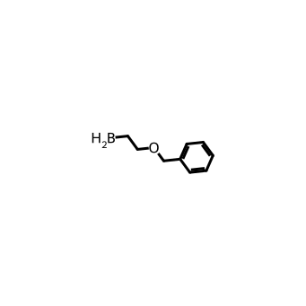 BCCOCc1ccccc1